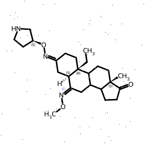 CC[C@]12CCC(=NO[C@H]3CCNC3)C[C@@H]1/C(=N/OC)CC1C2CC[C@]2(C)C(=O)CCC12